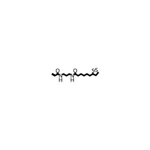 C=CC(=O)NCCCNC(=O)CCCCCC1CCSS1